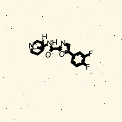 O=C(N[C@H]1CN2CCC1CC2)c1ncc(-c2ccc(F)c(F)c2)o1